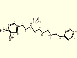 Br.Br.Oc1ccc(CCNCCCCNCCc2ccccc2)cc1O